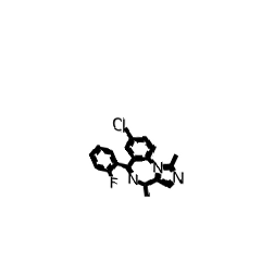 Cc1ncc2n1-c1ccc(Cl)cc1C(c1ccccc1F)=NC2C